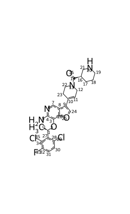 C[C@@H](Oc1c(N)ncc2c(C3=CCN(C(=O)[C@@H]4CCCNC4)CC3)coc12)c1c(Cl)ccc(F)c1Cl